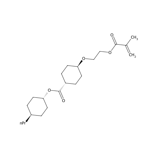 C=C(C)C(=O)OCCO[C@H]1CC[C@H](C(=O)O[C@H]2CC[C@H](CCC)CC2)CC1